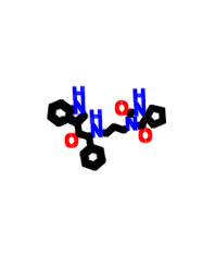 O=C(c1c[nH]c2ccccc12)C(NCCCN1C(=O)NC2(CCCC2)C1=O)c1ccccc1